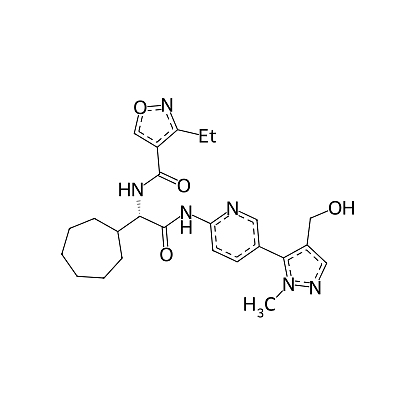 CCc1nocc1C(=O)N[C@H](C(=O)Nc1ccc(-c2c(CO)cnn2C)cn1)C1CCCCCC1